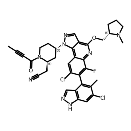 CC#CC(=O)N1CC[C@H](n2ncc3c(OC[C@@H]4CCCN4C)nc4c(F)c(-c5c(C)c(Cl)cc6[nH]ncc56)c(Cl)cc4c32)C[C@H]1CC#N